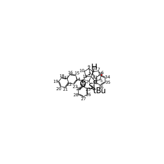 CC(C)(C)[Si](C[C@]12CCCC[C@@H]1C1CC2(C(=O)c2ccc3ccccc3c2)C1)(c1ccccc1)c1ccccc1